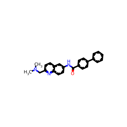 CN(C)Cc1ccc2cc(NC(=O)c3ccc(-c4ccccc4)cc3)ccc2n1